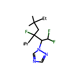 CCC(C)(C)CC(F)(C(C)C)C(C(F)F)n1cncn1